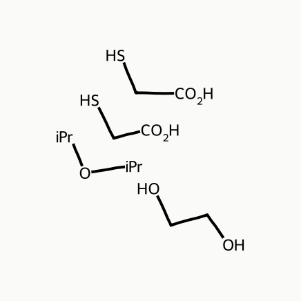 CC(C)OC(C)C.O=C(O)CS.O=C(O)CS.OCCO